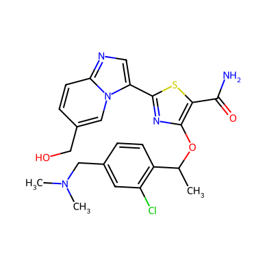 CC(Oc1nc(-c2cnc3ccc(CO)cn23)sc1C(N)=O)c1ccc(CN(C)C)cc1Cl